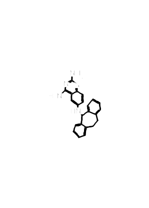 Nc1nc(N)c2cc(NC3c4ccccc4CCc4ccccc43)ccc2n1